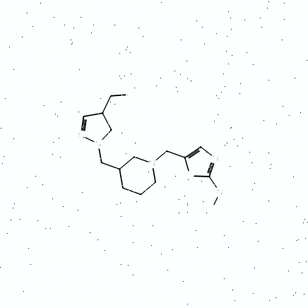 CCC1C=NN(CC2CCCN(Cc3cnc(NC)s3)C2)C1